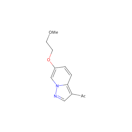 COCCOc1ccc2c(C(C)=O)cnn2c1